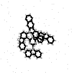 c1ccc2cc3c(cc2c1)c1cc2ccccc2cc1n3-c1ccc2oc3ccccc3c2c1-c1nc(-c2ccc3sc4ccccc4c3c2)nc(-n2c3ccccc3c3ccccc32)n1